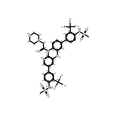 CS(=O)(=O)Nc1ccc(-c2ccc3c(c2)Oc2cc(-c4ccc(NS(C)(=O)=O)c(C(F)(F)F)c4)cnc2N3C(=O)CN2CCOCC2)cc1C(F)(F)F